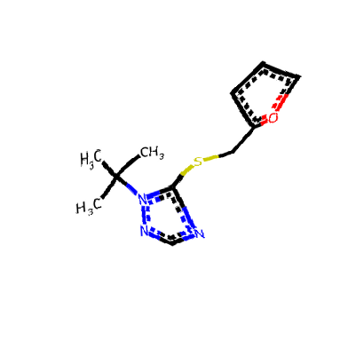 CC(C)(C)n1ncnc1SCc1ccco1